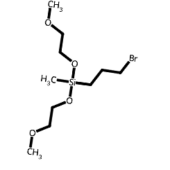 COCCO[Si](C)(CCCBr)OCCOC